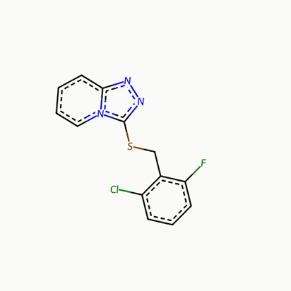 Fc1cccc(Cl)c1CSc1nnc2ccccn12